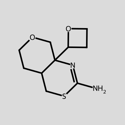 NC1=NC2(C3CCO3)COCCC2CS1